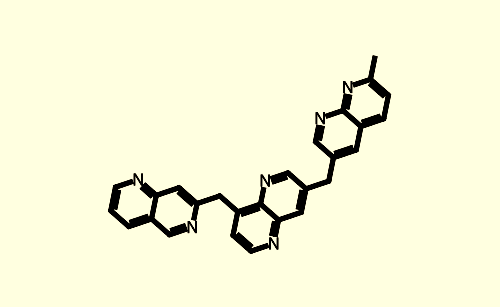 Cc1ccc2cc(Cc3cnc4c(Cc5cc6ncccc6cn5)ccnc4c3)cnc2n1